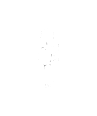 CC(C)(C)OC1C[C@H]2[C@@H]3CCC4CCCC[C@]4(C)[C@@H]3CC[C@]2(C)C1